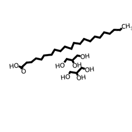 CCCCCCCCCCCCCCCCCCCCCC(=O)O.OCC(O)CO.OCC(O)CO